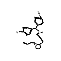 C=CCN1CCCC1CCNC(c1ccc(F)cc1)c1ccc(F)cc1